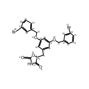 O=c1[nH]c(=O)n(Cc2cc(OCc3cccc(Br)c3)cc(OCc3cccc(Br)c3)c2)o1